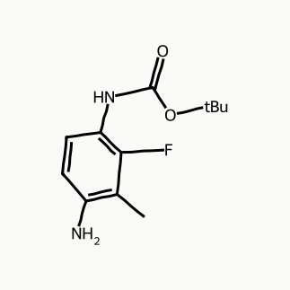 Cc1c(N)ccc(NC(=O)OC(C)(C)C)c1F